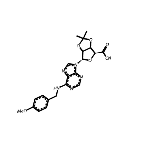 COc1ccc(CNc2ncnc3c2ncn3[C@@H]2O[C@H](C(=O)C#N)C3OC(C)(C)OC32)cc1